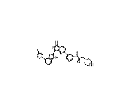 Cc1ccc(-c2cccc3[nH]c(-c4n[nH]c5ccc(-c6cncc(NC(=O)CC7CCNCC7)c6)nc45)cc23)s1